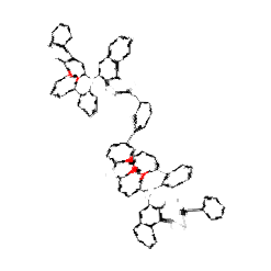 c1ccc(-c2nc3c(o2)c(N(c2ccc4oc5ccc(-c6cccc(-c7nc8c(N(c9ccc%10sc%11ccccc%11c%10c9)c9ccccc9-c9ccccc9)cc9ccccc9c8o7)c6)cc5c4c2)c2ccccc2-c2ccccc2)cc2ccccc23)cc1